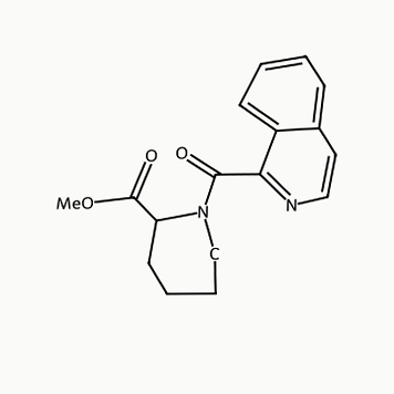 COC(=O)C1CCCCN1C(=O)c1nccc2ccccc12